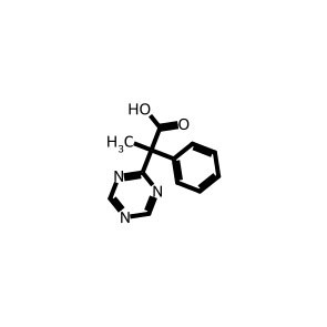 CC(C(=O)O)(c1ccccc1)c1ncncn1